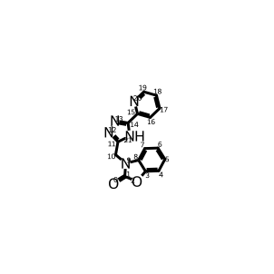 O=c1oc2ccccc2n1Cc1nnc(-c2ccccn2)[nH]1